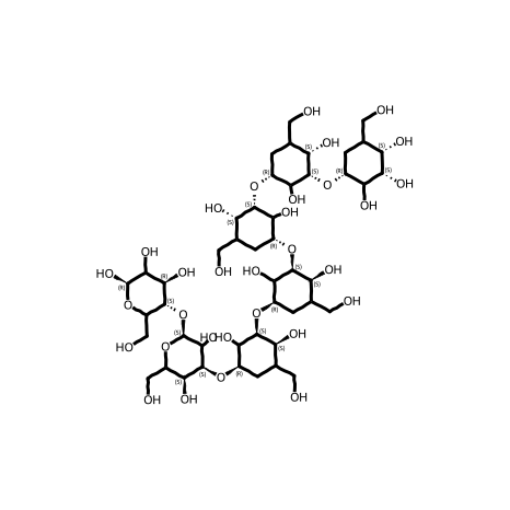 OCC1O[C@@H](O)C(O)[C@@H](O)[C@@H]1O[C@@H]1OC(CO)[C@H](O)[C@H](O[C@@H]2CC(CO)[C@H](O)[C@H](O[C@@H]3CC(CO)[C@H](O)[C@H](O[C@@H]4CC(CO)[C@H](O)[C@H](O[C@@H]5CC(CO)[C@H](O)[C@H](O[C@@H]6CC(CO)[C@H](O)[C@H](O)C6O)C5O)C4O)C3O)C2O)C1O